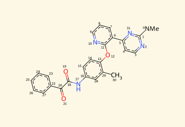 CNc1nccc(-c2cccnc2Oc2ccc(NC(=O)C(=O)c3ccccc3)cc2C)n1